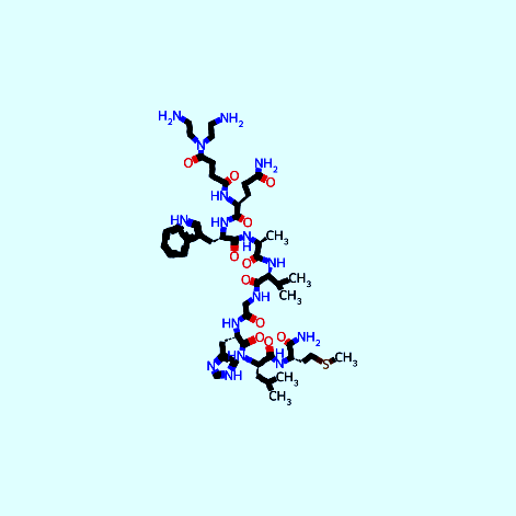 CSCC[C@H](NC(=O)[C@H](CC(C)C)NC(=O)[C@H](Cc1c[nH]cn1)NC(=O)CNC(=O)[C@@H](NC(=O)[C@H](C)NC(=O)[C@H](Cc1c[nH]c2ccccc12)NC(=O)[C@H](CCC(N)=O)NC(=O)CCC(=O)N(CCN)CCN)C(C)C)C(N)=O